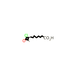 C[C@@H]1C(=O)C(Cl)[C@H]1CCCCCCCC(=O)O